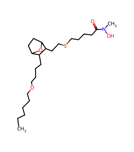 CCCCCCOCCCCC1C2CCC(O2)C1CCSCCCCC(=O)N(C)O